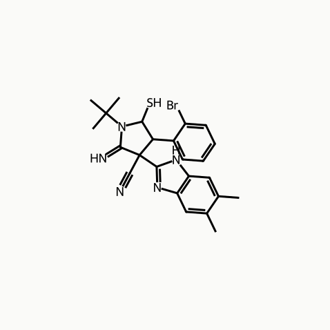 Cc1cc2nc(C3(C#N)C(=N)N(C(C)(C)C)C(S)C3c3ccccc3Br)[nH]c2cc1C